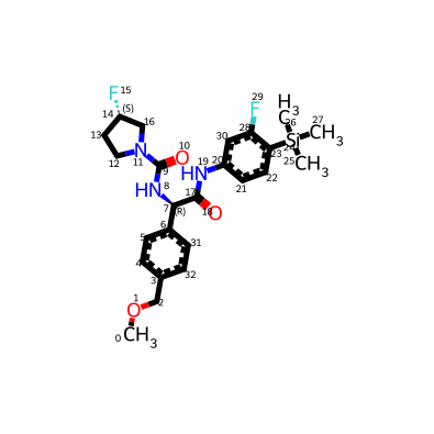 COCc1ccc([C@@H](NC(=O)N2CC[C@H](F)C2)C(=O)Nc2ccc([Si](C)(C)C)c(F)c2)cc1